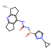 C[C@@H]1CCc2c1nc1c(c2NC(=O)/N=[SH](=O)/c2ccn(C3CC3)n2)CCC1